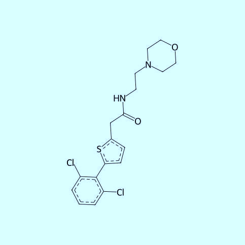 O=C(Cc1ccc(-c2c(Cl)cccc2Cl)s1)NCCN1CCOCC1